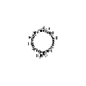 CCCCCC1CNCCNCCNCCNCCNC(C(N)=O)CNCCCCCCNCCNCCN1